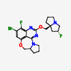 Fc1c(Br)cc2c3c(nc(OC[C@@]45CCCN4C[C@H](F)C5)nc13)N1CCCC1CO2